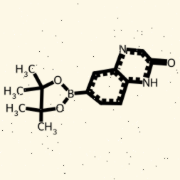 CC1(C)OB(c2ccc3[nH]c(=O)cnc3c2)OC1(C)C